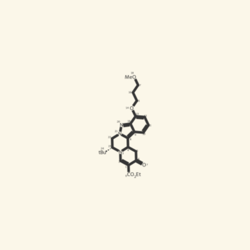 CCOC(=O)C1=CN2C(CC1=O)c1c3cccc(OCCCOC)c3nn1C[C@H]2C(C)(C)C